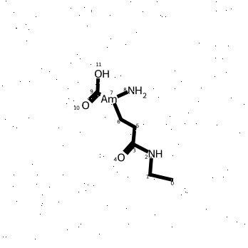 CCNC(=O)C[CH2][Am]([NH2])[C](=O)O